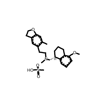 COc1cccc2c1CCC[C@H]2CN(C)CCc1cc2c(cc1C)OCC2.CS(=O)(=O)O